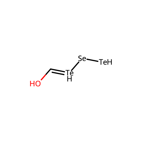 OC=[TeH][Se][TeH]